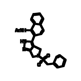 CC(=O)Nc1c(-c2[nH]nc3c2CN(S(=O)(=O)Cc2ccccc2)C3)ccc2ccccc12